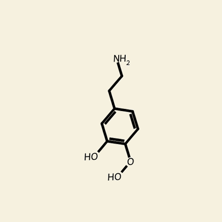 NCCc1ccc(OO)c(O)c1